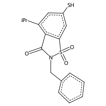 CC(C)c1cc(S)cc2c1C(=O)N(Cc1ccccc1)S2(=O)=O